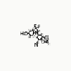 N#Cc1cc(N(CC(F)(F)F)c2ccc(O)cc2)cc(Cl)c1OC1CC1